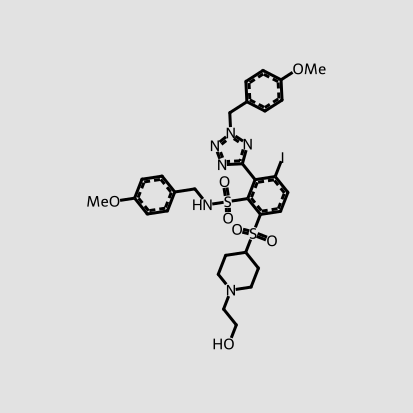 COc1ccc(CNS(=O)(=O)c2c(S(=O)(=O)C3CCN(CCO)CC3)ccc(I)c2-c2nnn(Cc3ccc(OC)cc3)n2)cc1